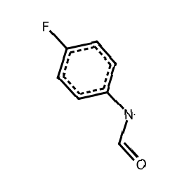 O=C[N]c1ccc(F)cc1